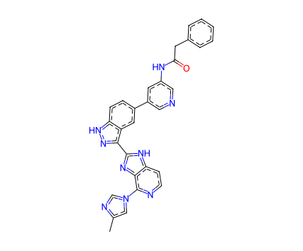 Cc1cn(-c2nccc3[nH]c(-c4n[nH]c5ccc(-c6cncc(NC(=O)Cc7ccccc7)c6)cc45)nc23)cn1